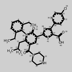 CCc1cccc(CC)c1-n1c(CC(C)C)c(C(=O)N2CCNCC2)cc(-c2nc(-c3ccc(Cl)cn3)c(C(=O)O)s2)c1=O